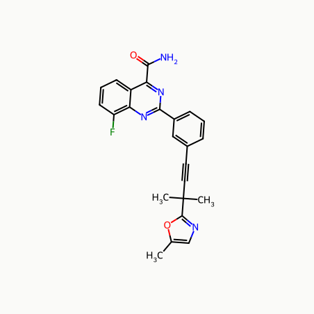 Cc1cnc(C(C)(C)C#Cc2cccc(-c3nc(C(N)=O)c4cccc(F)c4n3)c2)o1